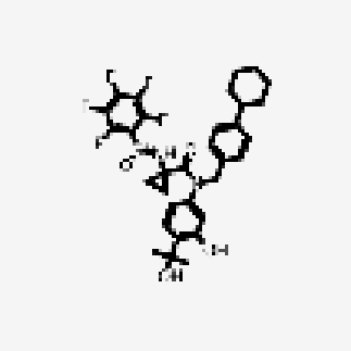 CC(C)(O)c1ccc(N(Cc2ccc(C3CCCCC3)cc2)C(=O)C2(N[S+]([O-])c3c(F)c(F)c(F)c(F)c3F)CC2)cc1O